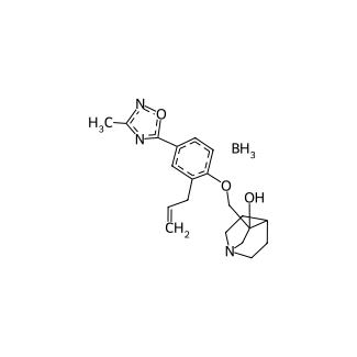 B.C=CCc1cc(-c2nc(C)no2)ccc1OCC1(O)CN2CCC1CC2